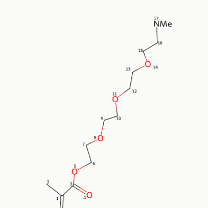 C=C(C)C(=O)OCCOCCOCCOCCNC